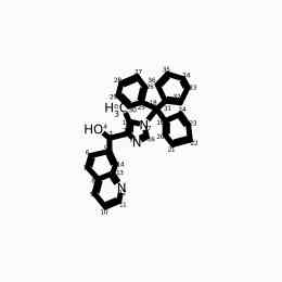 Cc1c(C(O)c2ccc3cccnc3c2)ncn1C(c1ccccc1)(c1ccccc1)c1ccccc1